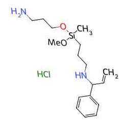 C=CC(NCCC[Si](C)(OC)OCCCN)c1ccccc1.Cl